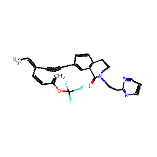 C=C(/C=C\C(C#Cc1ccc2c(c1)C(=O)N(Cc1ncccn1)CC2)=C/C)OC(F)(F)F